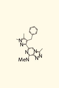 CNc1nc(-c2nn(C)c(C)c2Cc2ccccc2)cn2c(C)nnc12